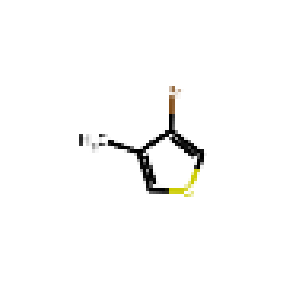 Cc1cscc1Br